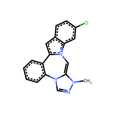 CN1N=CN2C1=Cn1c(cc3ccc(Cl)cc31)-c1ccccc12